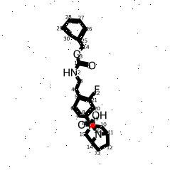 O=C(NCCc1ccc(N2CC3CCC(C2)N3C(=O)O)cc1F)OCc1ccccc1